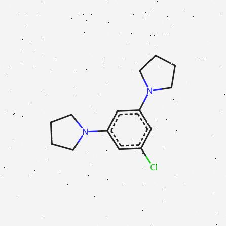 Clc1cc(N2CCCC2)cc(N2CCCC2)c1